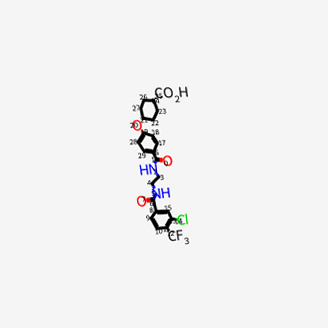 O=C(NCCNC(=O)c1ccc(C(F)(F)F)c(Cl)c1)c1ccc(O[C@H]2CC[C@@H](C(=O)O)CC2)cc1